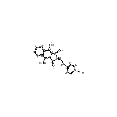 O=C1c2c(c(O)c3ncccc3c2O)C(=O)N1CCc1ccc(F)cc1